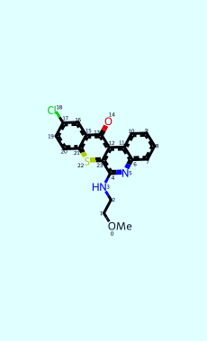 COCCNc1nc2ccccc2c2c(=O)c3cc(Cl)ccc3sc12